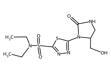 CCN(CC)S(=O)(=O)c1nnc(N2C(=O)NCC2CO)s1